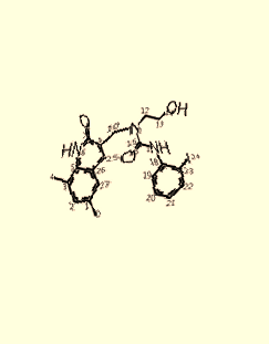 Cc1cc(C)c2[nH]c(=O)c(CN(CCO)C(=O)Nc3ccccc3I)cc2c1